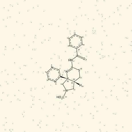 O=C(NC1=N[C@@]2(c3cnccn3)CN(C(=O)O)C[C@H]2CS1)c1ccccc1